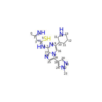 CC(=N)/C=C(\S)Nc1nc(C2CCCNC2)cn2c(-c3cnn(C)c3)cnc12